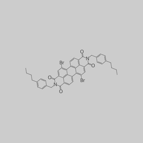 CCCCc1ccc(CN2C(=O)c3ccc4c5c(Br)cc6c7c(ccc(c8c(Br)cc(c3c48)C2=O)c75)C(=O)N(Cc2ccc(CCCC)cc2)C6=O)cc1